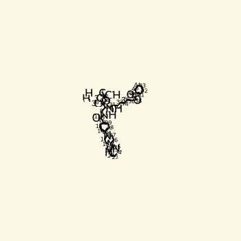 CC(C)(C)OC(=O)C(CNC(=O)c1ccc(N2CCN(c3ncccn3)CC2)cc1)NCCCCCCS(=O)(=O)c1ccccc1